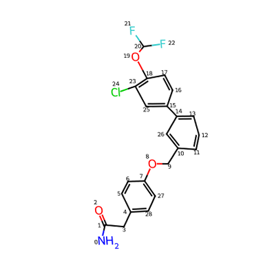 NC(=O)Cc1ccc(OCc2cccc(-c3ccc(OC(F)F)c(Cl)c3)c2)cc1